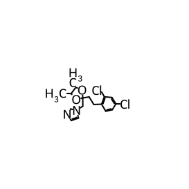 CC1OC(CCc2ccc(Cl)cc2Cl)(Cn2ccnc2)OC1C